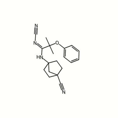 CC(C)(Oc1ccccc1)/C(=N\C#N)NC12CCC(C#N)(CC1)C2